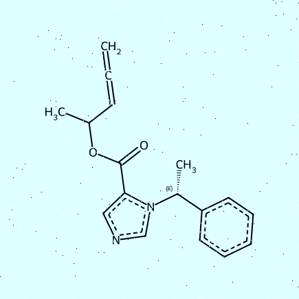 C=C=CC(C)OC(=O)c1cncn1[C@H](C)c1ccccc1